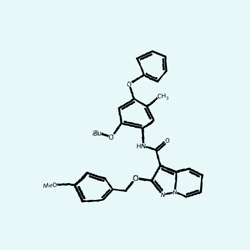 CCC(C)Oc1cc(Oc2ccccc2)c(C)cc1NC(=O)c1c(OCc2ccc(OC)cc2)nn2ccccc12